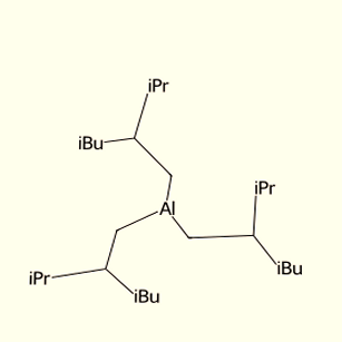 CCC(C)C([CH2][Al]([CH2]C(C(C)C)C(C)CC)[CH2]C(C(C)C)C(C)CC)C(C)C